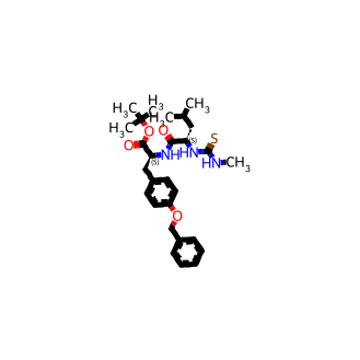 CNC(=S)N[C@@H](CC(C)C)C(=O)N[C@@H](Cc1ccc(OCc2ccccc2)cc1)C(=O)OC(C)(C)C